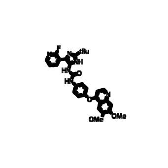 COc1cc2nccc(Oc3ccc(NC(=O)Nc4[nH]c(C(C)(C)C)nc4-c4cccnc4F)cc3)c2cc1OC